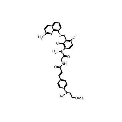 COCCN(C(C)=O)c1ccc(C=CC(=O)NCC(=O)N(C)c2ccc(Cl)c(COc3cccc4ccc(C)nc34)c2Cl)cc1